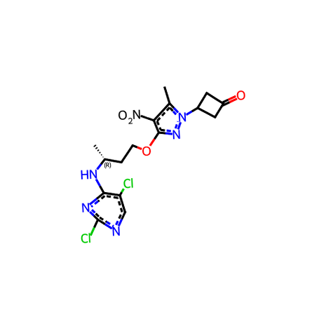 Cc1c([N+](=O)[O-])c(OCC[C@@H](C)Nc2nc(Cl)ncc2Cl)nn1C1CC(=O)C1